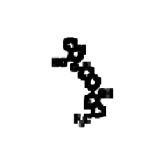 Oc1c(Oc2cc3cc(-c4cnc5c(C(F)(F)F)cccc5c4O)ccc3cn2)cnc2ccccc12